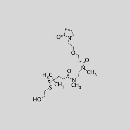 CN(CCN(C)C(=O)CCC(C)(C)SSCCO)C(=O)CCOCCN1CC=CC1=O